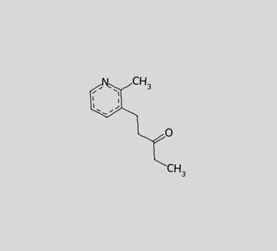 CCC(=O)CCc1cccnc1C